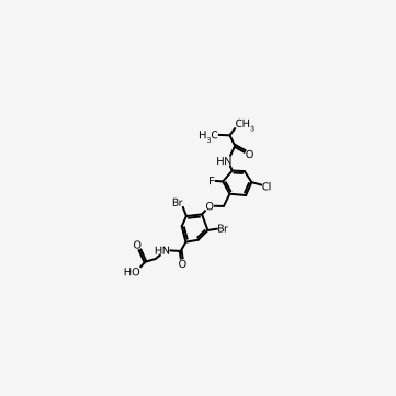 CC(C)C(=O)Nc1cc(Cl)cc(COc2c(Br)cc(C(=O)NCC(=O)O)cc2Br)c1F